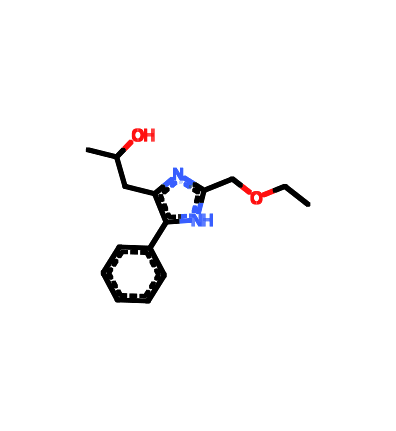 CCOCc1nc(CC(C)O)c(-c2ccccc2)[nH]1